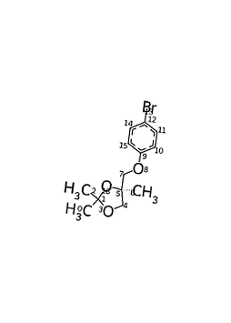 CC1(C)OC[C@](C)(COc2ccc(Br)cc2)O1